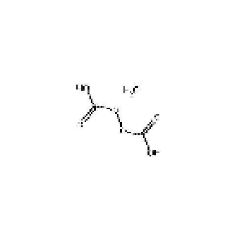 O.O=C(O)OOC(=O)O